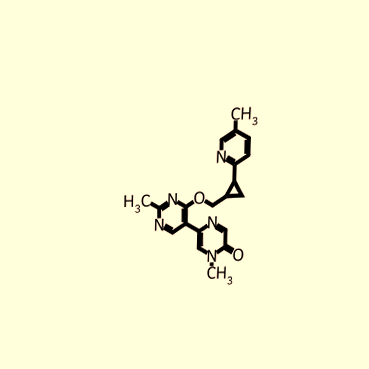 Cc1ccc(C2CC2COc2nc(C)ncc2-c2cn(C)c(=O)cn2)nc1